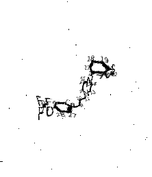 FC(F)(F)Oc1ccc(CCCN2CCN(c3cccc4s[c]nc34)CC2)cc1